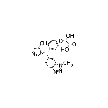 Cc1cncn1C(c1ccccc1)c1ccc2nnn(C)c2c1.O=C(O)C(=O)O